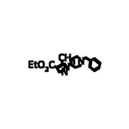 CCOC(=O)c1cnn(C2CCN(Cc3ccccc3)CC2)c1C